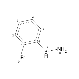 CC(C)c1ccccc1BN